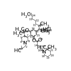 C#CCN1CCC2=C(C1)c1c(OC(=O)CCCN3CCCCC3(C)C)cc(C(C)C(C)CCCCC)cc1OC2(C)C.Cl.Cl